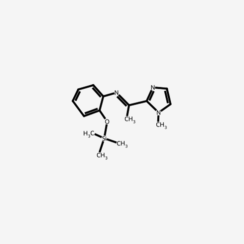 CC(=Nc1ccccc1O[Si](C)(C)C)c1nccn1C